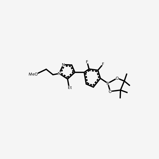 CCc1c(-c2ccc(B3OC(C)(C)C(C)(C)O3)c(F)c2F)cnn1CCOC